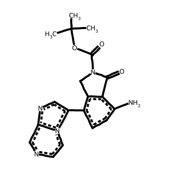 CC(C)(C)OC(=O)N1Cc2c(-c3cnc4cnccn34)ccc(N)c2C1=O